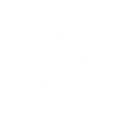 CCN(Cc1cc([N+](=O)[O-])cc(Cl)c1O)C(C)(C)C